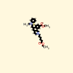 CCOC(=O)CCCCCN1C=CC(=C/C(=C/c2sc3ccccc3[n+]2C)c2ccc(C(=O)OC)cc2)C=C1